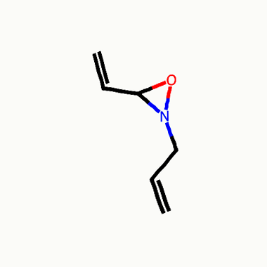 C=CCN1OC1C=C